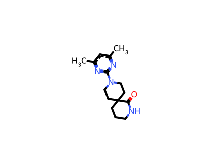 Cc1cc(C)nc(N2CCC3(CCCNC3=O)CC2)n1